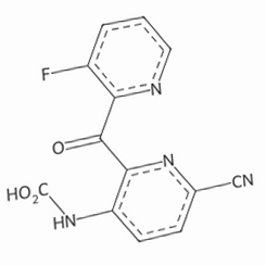 N#Cc1ccc(NC(=O)O)c(C(=O)c2ncccc2F)n1